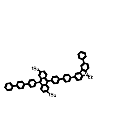 CCn1c2ccc(-c3ccccc3)cc2c2cc(-c3ccc(-c4ccc(-c5c6ccc(C(C)(C)C)cc6c(-c6ccc(-c7ccc(-c8ccccc8)cc7)cc6)c6ccc(C(C)(C)C)cc56)cc4)cc3)ccc21